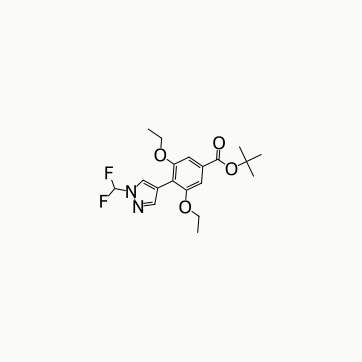 CCOc1cc(C(=O)OC(C)(C)C)cc(OCC)c1-c1cnn(C(F)F)c1